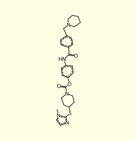 Cn1ccnc1SC1CCN(C(=O)Oc2ccc(NC(=O)c3ccc(CN4CCCCC4)cc3)cc2)CC1